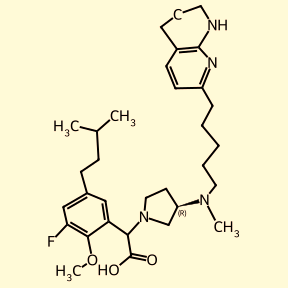 COc1c(F)cc(CCC(C)C)cc1C(C(=O)O)N1CC[C@@H](N(C)CCCCCc2ccc3c(n2)NCCC3)C1